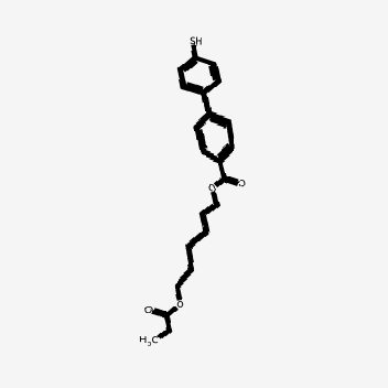 CCC(=O)OCCCCCCOC(=O)c1ccc(-c2ccc(S)cc2)cc1